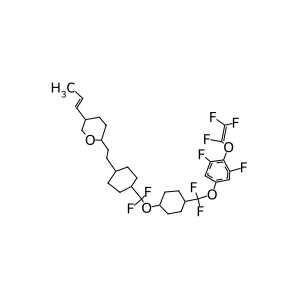 C/C=C/C1CCC(CCC2CCC(C(F)(F)OC3CCC(C(F)(F)Oc4cc(F)c(OC(F)=C(F)F)c(F)c4)CC3)CC2)OC1